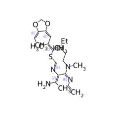 C=C\N=C(C(/N=C/S/C(C)=C(C)/C=C1/OCO/C1=C/C)=C(\C)N)\N(C)CCNCC